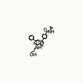 O=C(NC1CC1)c1ccc(-c2cnc3c(NCCCO)nc(-c4ccccc4)cn23)cc1